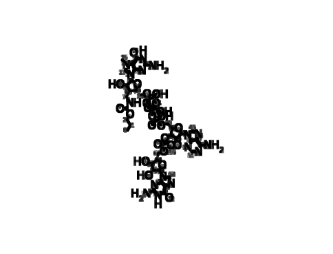 CCCOC(=O)NC[C@H]1[C@@H](O)[C@H](n2c[n+](C)c3c(=O)[nH]c(N)nc32)O[C@@H]1COP(=O)(O)OP(=O)(O)OP(=O)(O)OC[C@H]1O[C@@H](n2cnc3c(N)ncnc32)[C@H](OC)[C@@H]1OP(=O)([O-])OC[C@H]1O[C@@H](n2cnc3c(=O)[nH]c(N)nc32)[C@H](O)[C@@H]1O